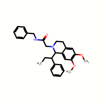 CCC(c1ccccc1)C1c2cc(OC)c(OC)cc2CCN1CC(=O)NCc1ccccc1